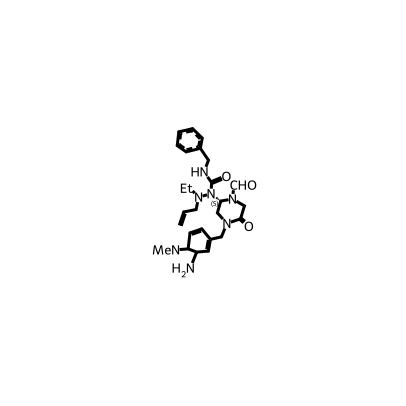 C=CCN(CC)N(C(=O)NCc1ccccc1)[C@H]1CN(CC2=CC(N)C(NC)C=C2)C(=O)CN1C=O